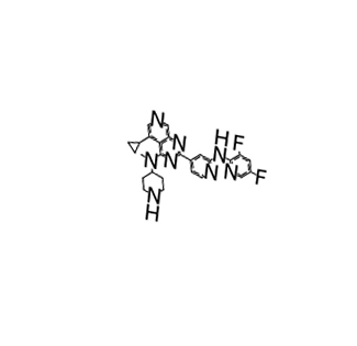 CN(c1nc(-c2ccnc(Nc3ncc(F)cc3F)c2)nc2cncc(C3CC3)c12)C1CCNCC1